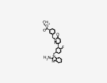 CCOC(=O)c1cccc(Cn2nc(-c3cc(Cn4c(N)nc5ccccc54)ccc3F)ccc2=O)c1